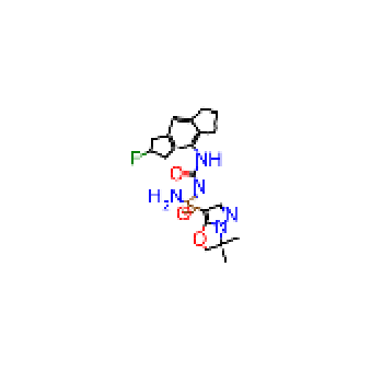 CC1(C)COc2c(S(N)(=O)=NC(=O)Nc3c4c(cc5c3CC(F)C5)CCC4)cnn21